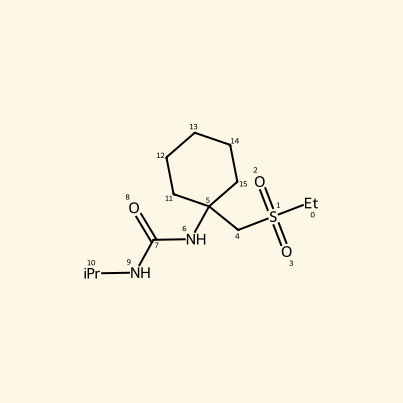 CCS(=O)(=O)CC1(NC(=O)NC(C)C)CCCCC1